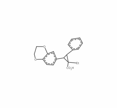 CCC1(C(=O)O)C(c2ccccc2)C1c1ccc2c(c1)OCCO2